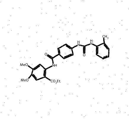 CCOC(=O)c1cc(OC)c(OC)cc1NC(=O)c1ccc(NC(=O)Nc2ccccc2C)cc1